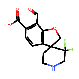 O=Cc1c(C(=O)O)ccc2c1OCC21CCNCC1(F)F